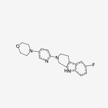 Fc1ccc2[nH]c3c(c2c1)CCN(c1ccc(N2CCOCC2)cn1)C3